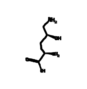 NC[C@@H](O)C[C@@H](N)C(=O)O